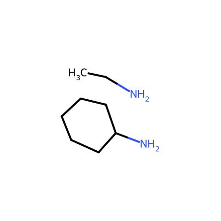 CCN.NC1CCCCC1